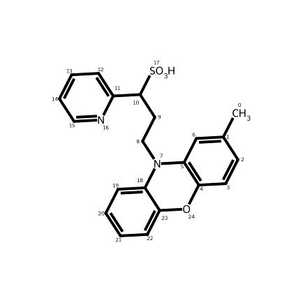 Cc1ccc2c(c1)N(CCC(c1ccccn1)S(=O)(=O)O)c1ccccc1O2